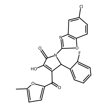 Cc1ccc(C(=O)C2=C(O)C(=O)N(c3nc4cc(Cl)ccc4o3)C2c2ccccc2F)o1